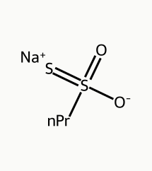 CCCS(=O)([O-])=S.[Na+]